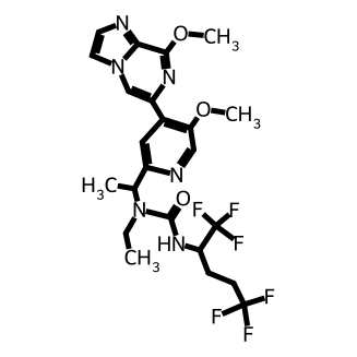 CCN(C(=O)NC(CCC(F)(F)F)C(F)(F)F)C(C)c1cc(-c2cn3ccnc3c(OC)n2)c(OC)cn1